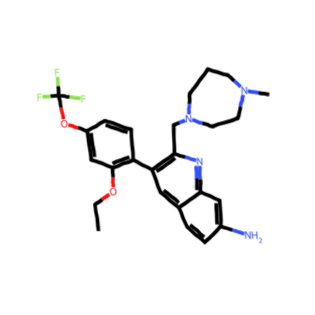 CCOc1cc(OC(F)(F)F)ccc1-c1cc2ccc(N)cc2nc1CN1CCCN(C)CC1